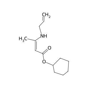 C=CCNC(C)=CC(=O)OC1CCCCC1